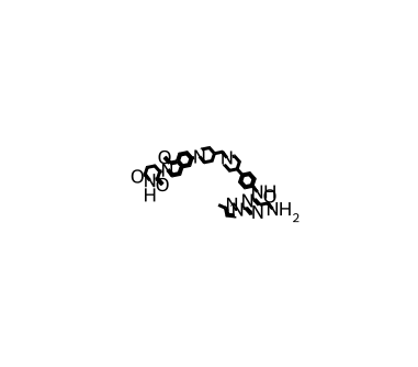 Cc1ccn(-c2cnc(C(N)=O)c(Nc3ccc(C4CCN(CC5CCN(c6ccc7c(=O)n(C8CCC(=O)NC8=O)ccc7c6)CC5)CC4)cc3)n2)n1